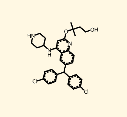 CC(C)(CCO)Oc1cc(NC2CCNCC2)c2cc(C(c3ccc(Cl)cc3)c3ccc(Cl)cc3)ccc2n1